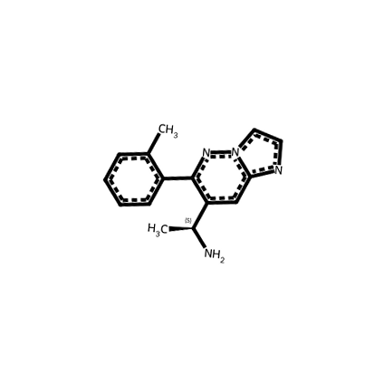 Cc1ccccc1-c1nn2ccnc2cc1[C@H](C)N